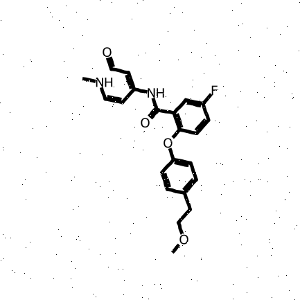 CN/C=C\C(=C/C=O)NC(=O)c1cc(F)ccc1Oc1ccc(CCOC)cc1